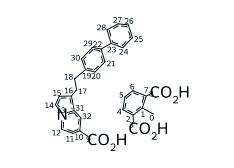 Cc1c(C(=O)O)cccc1C(=O)O.O=C(O)c1ccn2ccc(CCc3ccc(-c4ccccc4)cc3)c2c1